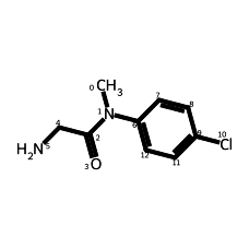 CN(C(=O)CN)c1ccc(Cl)cc1